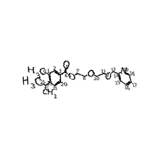 Cc1cc(C(=O)OCCOCCOCc2ccccn2)ccc1C(C)C